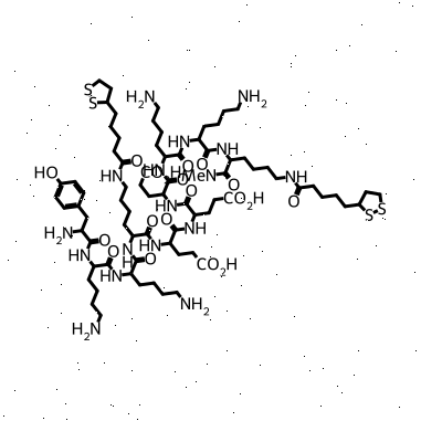 CNC(=O)C(CCCCNC(=O)CCCCC1CCSS1)NC(=O)C(CCCCN)NC(=O)C(CCCCN)NC(=O)C(CCC(=O)O)NC(=O)C(CCC(=O)O)NC(=O)C(CCC(=O)O)NC(=O)C(CCCCNC(=O)CCCCC1CCSS1)NC(=O)C(CCCCN)NC(=O)C(CCCCN)NC(=O)C(N)Cc1ccc(O)cc1